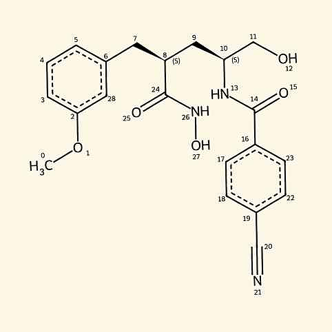 COc1cccc(C[C@@H](C[C@@H](CO)NC(=O)c2ccc(C#N)cc2)C(=O)NO)c1